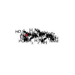 CC[C@H](NC(=O)C(NC)[C@@H](C)O)C(=O)N[C@@H](CCCNC(=N)N)C(=O)NCC(=O)N[C@@H](CCCN)C(=O)NCC(=O)N[C@@H](CCCN)C(=O)NCC(=O)N[C@@H](CCC(=O)O)C(=O)N[C@@H](CC)C(=O)NC(C(N)=O)[C@@H](C)O